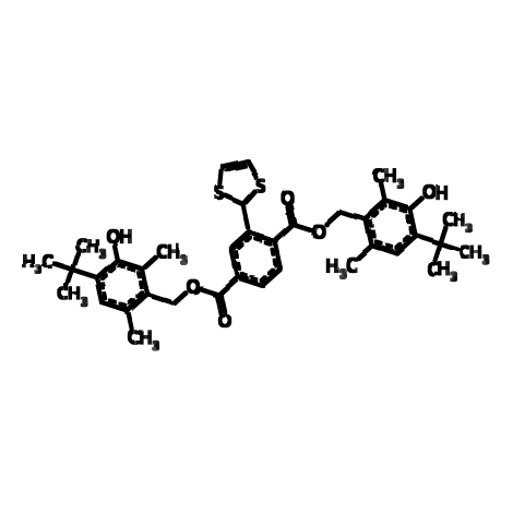 Cc1cc(C(C)(C)C)c(O)c(C)c1COC(=O)c1ccc(C(=O)OCc2c(C)cc(C(C)(C)C)c(O)c2C)c(C2SC=CS2)c1